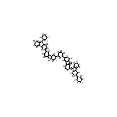 C1=Cc2c(n(-c3cccc4c3oc3ccc(-c5cccc(-c6ccc7oc8ccc(-c9ccc%10c(c9)c9ccccc9n%10-c9ccccc9)cc8c7c6)c5)cc34)c3ccc(-c4ccccc4)cc23)CC1